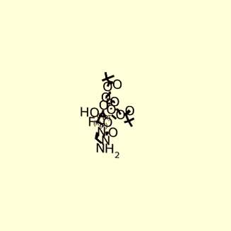 CC[C@]12O[C@@H](n3ccc(N)nc3=O)[C@H](F)[C@@]1(O)C2OP(=O)(OCOC(=O)C(C)(C)C)OCOC(=O)C(C)(C)C